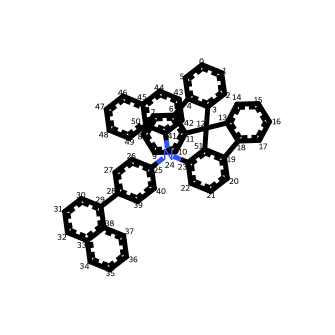 c1ccc2c(c1)-c1ccccc1C21c2ccccc2-c2cccc(N(c3ccc(-c4cccc5ccccc45)cc3)c3cccc4ccccc34)c21